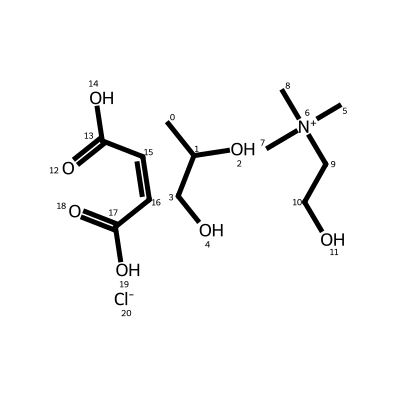 CC(O)CO.C[N+](C)(C)CCO.O=C(O)/C=C\C(=O)O.[Cl-]